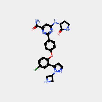 NC(=O)c1cc(N[C@H]2CCNC2=O)nc(-c2ccc(Oc3ccc(Cl)cc3-c3ccnn3C3CNC3)cc2)n1